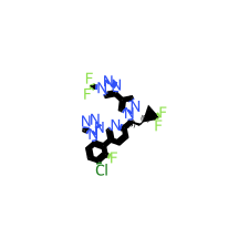 Fc1c(Cl)ccc(-n2cnnn2)c1-c1ccc([C@H](C[C@@H]2CC2(F)F)n2cc(-c3cn(C(F)F)nn3)cn2)nc1